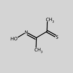 CC(=S)C(C)=NO